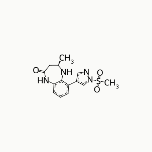 C[C@@H]1CC(=O)Nc2cccc(-c3cnn(S(C)(=O)=O)c3)c2N1